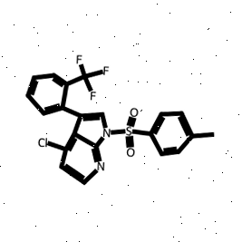 Cc1ccc(S(=O)(=O)n2cc(-c3ccccc3C(F)(F)F)c3c(Cl)ccnc32)cc1